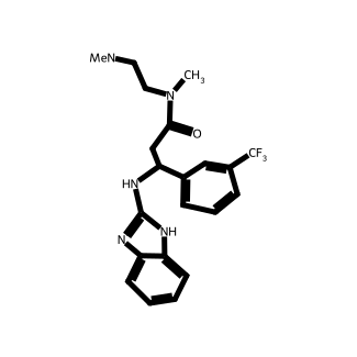 CNCCN(C)C(=O)CC(Nc1nc2ccccc2[nH]1)c1cccc(C(F)(F)F)c1